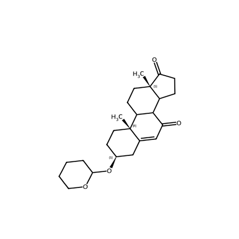 C[C@]12CC[C@H](OC3CCCCO3)CC1=CC(=O)C1C2CC[C@]2(C)C(=O)CCC12